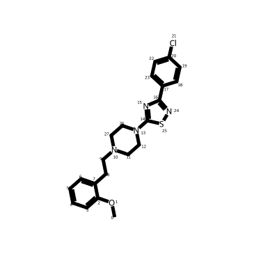 COc1ccccc1CCN1CCN(c2nc(-c3ccc(Cl)cc3)ns2)CC1